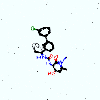 Cc1cc(O)c(NC(=O)NC(CC(=O)O)c2cccc(-c3cccc(Cl)c3)c2)c(=O)n1C